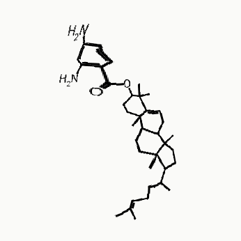 CC(C)=CCCC(C)C1CCC2(C)C3CC=C4C(C)(C)C(OC(=O)c5ccc(N)cc5N)CCC4(C)C3CCC12C